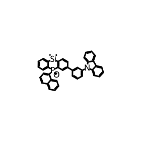 C[Si]1(C)c2ccccc2P(=O)(c2cccc3ccccc23)c2cc(-c3cccc(-n4c5ccccc5c5ccccc54)c3)ccc21